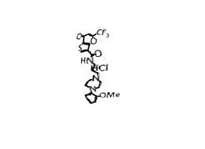 COc1ccccc1N1CCN(CCCNC(=O)c2csc3c(=O)cc(C(F)(F)F)oc23)CC1.Cl